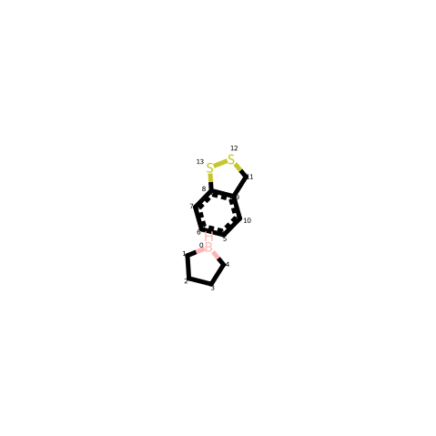 B1CCCC1.c1ccc2c(c1)CSS2